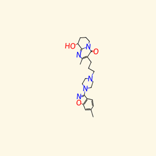 Cc1ccc2c(N3CCN(CCCc4c(C)nc5n(c4=O)CCCC5O)CC3)noc2c1